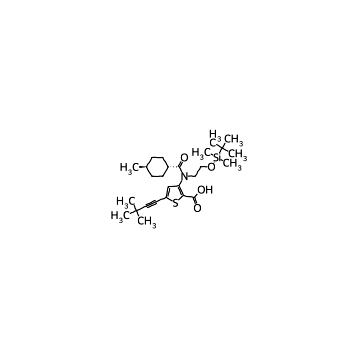 CC(C)(C)C#Cc1cc(N(CCO[Si](C)(C)C(C)(C)C)C(=O)[C@H]2CC[C@H](C)CC2)c(C(=O)O)s1